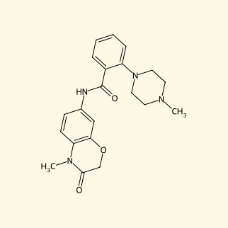 CN1CCN(c2ccccc2C(=O)Nc2ccc3c(c2)OCC(=O)N3C)CC1